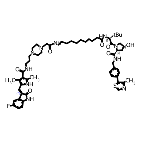 Cc1ncsc1-c1ccc(CNC(=O)[C@@H]2C[C@@H](O)CN2C(=O)[C@@H](NC(=O)CCCCCCCCCCNC(=O)CN2CCN(CCCNC(=O)c3c(C)[nH]c(/C=C4\C(=O)Nc5ccc(F)cc54)c3C)CC2)C(C)(C)C)cc1